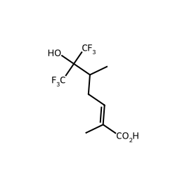 CC(=CCC(C)C(O)(C(F)(F)F)C(F)(F)F)C(=O)O